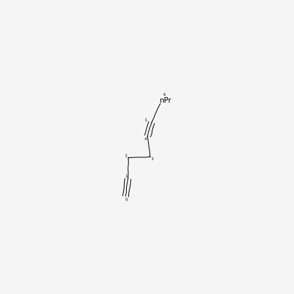 C#CCCC#CCCC